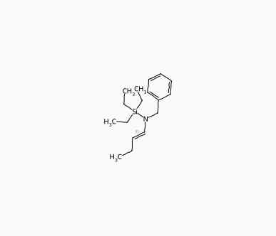 CC/C=C/N(Cc1ccccc1)[Si](CC)(CC)CC